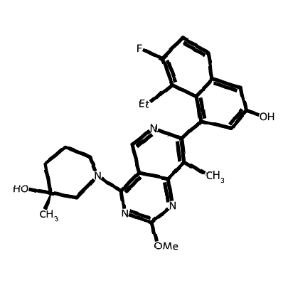 CCc1c(F)ccc2cc(O)cc(-c3ncc4c(N5CCC[C@@](C)(O)C5)nc(OC)nc4c3C)c12